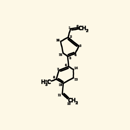 C=CC1=CC=C(C2=CC(C)=C(C=C)CC2)CC1